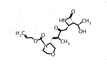 C=CCOC(=O)N1CCOC[C@H]1C=C(C)C(=O)C[C@H]1NC(=O)[C@@H]1[C@@H](C)O